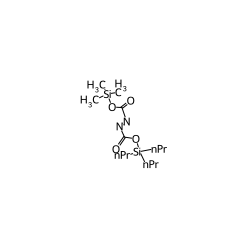 CCC[Si](CCC)(CCC)OC(=O)/N=N/C(=O)O[Si](C)(C)C